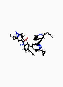 CC(=O)Nc1cc(-c2cc(-c3cc(NC(=O)c4ccnc(C(F)(F)F)c4)ccc3C)cc(C3CC3)n2)ccn1